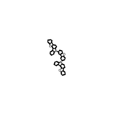 c1ccc2c(c1)oc1c2ccc2c1c1ccccc1n2-c1ccc2oc3ccc(-n4c5ccccc5c5c6oc7ccccc7c6ccc54)cc3c2c1